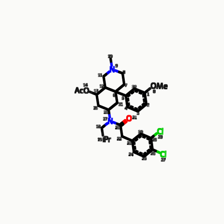 COc1cccc(C23CCN(C)CC2C(OC(C)=O)CC(N(CC(C)C)C(=O)Cc2ccc(Cl)c(Cl)c2)C3)c1